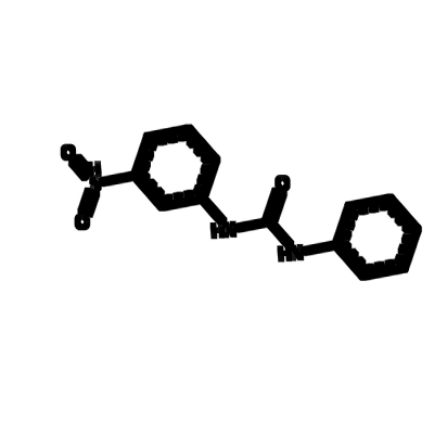 O=C(Nc1ccccc1)Nc1cccc([SH](=O)=O)c1